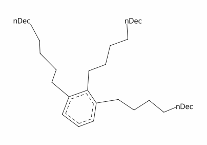 CCCCCCCCCCCCCCc1cccc(CCCCCCCCCCCCCC)c1CCCCCCCCCCCCCC